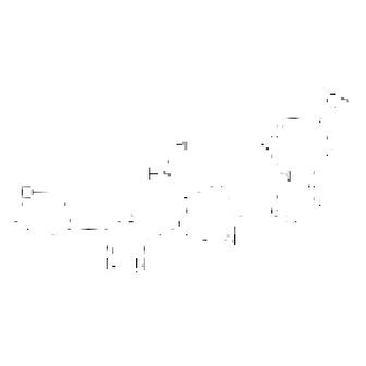 CC(C)Nc1cc(-c2ccc3cc(C#N)cnn23)ncc1-c1nnc(C2CCOC2)s1